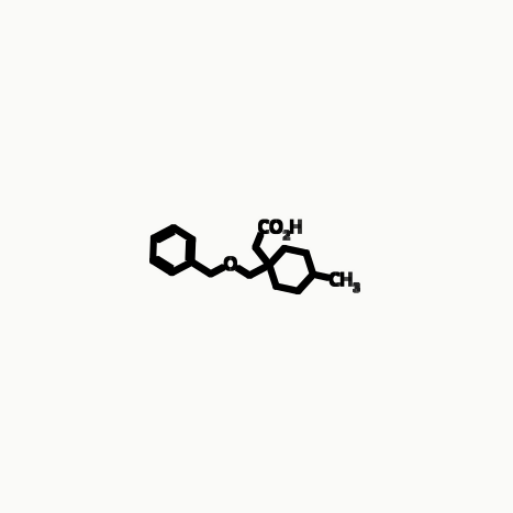 CC1CCC(COCc2ccccc2)(CC(=O)O)CC1